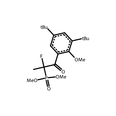 COc1c(C(=O)C(C)(F)P(=O)(OC)OC)cc(C(C)(C)C)cc1C(C)(C)C